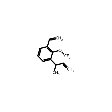 C=C[C](C)c1cccc(C=C)c1OC(F)(F)F